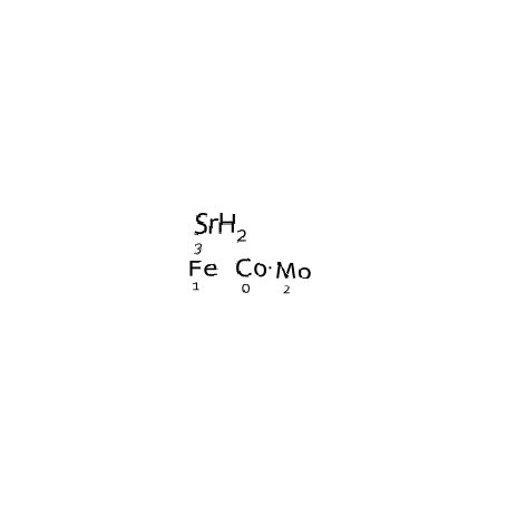 [Co].[Fe].[Mo].[SrH2]